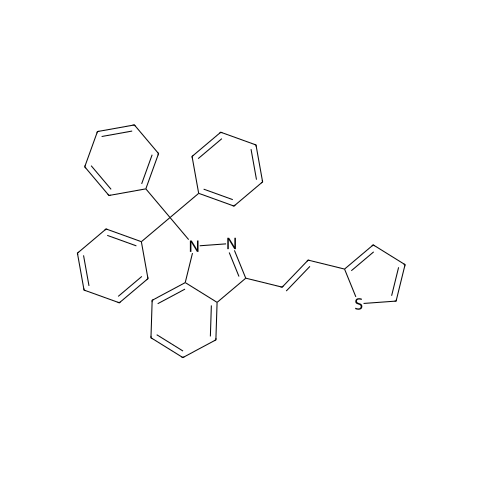 C(=C\c1nn(C(c2ccccc2)(c2ccccc2)c2ccccc2)c2ccccc12)/c1cccs1